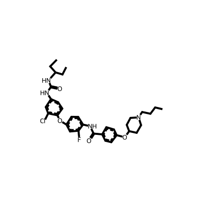 CCCCN1CCC(Oc2ccc(C(=O)Nc3ccc(Oc4ccc(NC(=O)NC(CC)CC)cc4Cl)cc3F)cc2)CC1